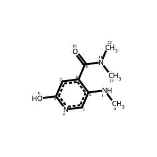 CNc1cnc(O)cc1C(=O)N(C)C